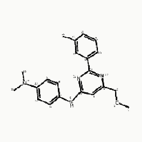 COCc1cc(Nc2ccc(N(C)C)cc2)nc(-c2cccc(C)c2)n1